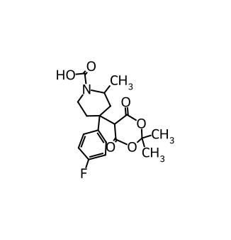 CC1CC(c2ccc(F)cc2)(C2C(=O)OC(C)(C)OC2=O)CCN1C(=O)O